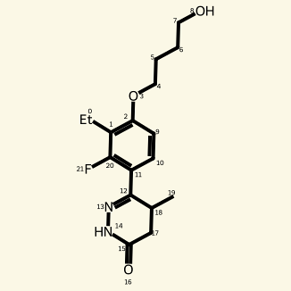 CCc1c(OCCCCO)ccc(C2=NNC(=O)CC2C)c1F